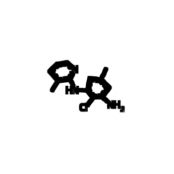 Cc1cc(N)c(Cl)c(Nc2ncccc2C)c1